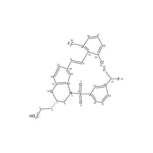 O=C(O)CC[C@H]1CN(S(=O)(=O)c2cccc(C(F)F)c2)c2cc(C=Cc3c(Cl)cccc3C(F)(F)F)ccc2O1